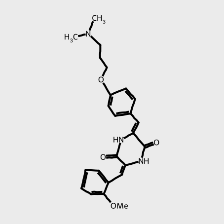 COc1ccccc1C=c1[nH]c(=O)c(=Cc2ccc(OCCCN(C)C)cc2)[nH]c1=O